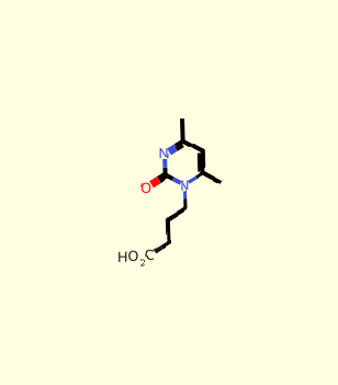 Cc1cc(C)n(CCCC(=O)O)c(=O)n1